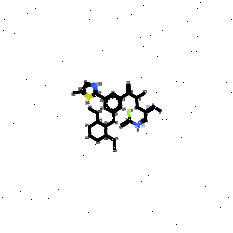 C=C(F)/N=C\C(=C/C)CC(C)C(=C)c1cc(CC2C(CC)CCCC2CC)cc(-c2ncc(C)s2)c1